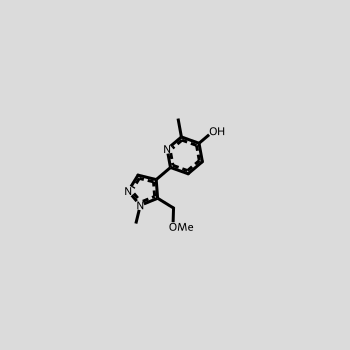 COCc1c(-c2ccc(O)c(C)n2)cnn1C